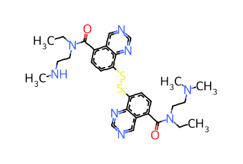 CCN(CCNC)C(=O)c1ccc(SSc2ccc(C(=O)N(CC)CCN(C)C)c3cncnc23)c2ncncc12